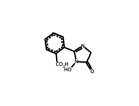 O=C(O)c1ccccc1C1=NCC(=O)N1O